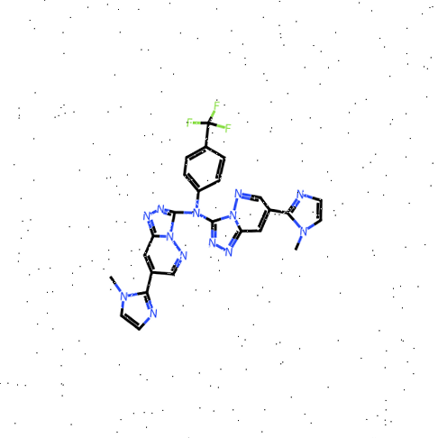 Cn1ccnc1-c1cnn2c(N(c3ccc(C(F)(F)F)cc3)c3nnc4cc(-c5nccn5C)cnn34)nnc2c1